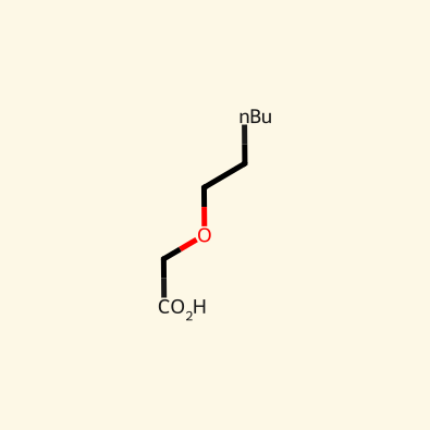 CCCCCCOCC(=O)O